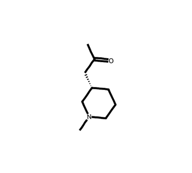 CC(=O)C[C@@H]1CCCN(C)C1